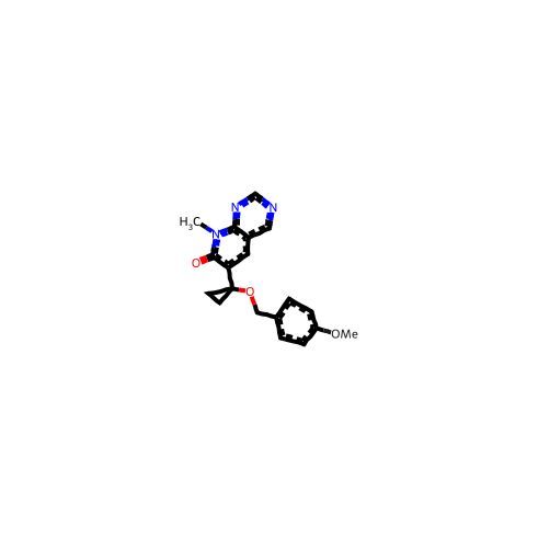 COc1ccc(COC2(c3cc4cncnc4n(C)c3=O)CC2)cc1